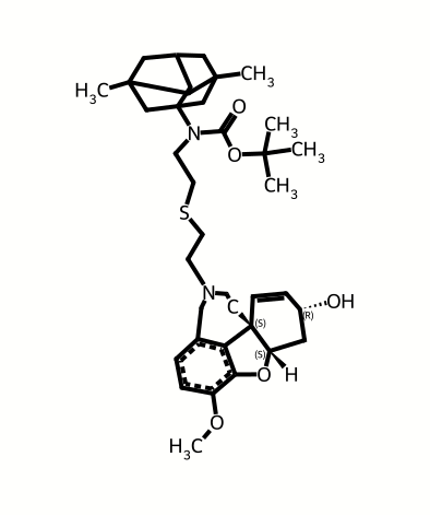 COc1ccc2c3c1O[C@H]1C[C@@H](O)C=C[C@@]31CCN(CCSCCN(C(=O)OC(C)(C)C)C13CC4CC(C)(CC(C)(C4)C1)C3)C2